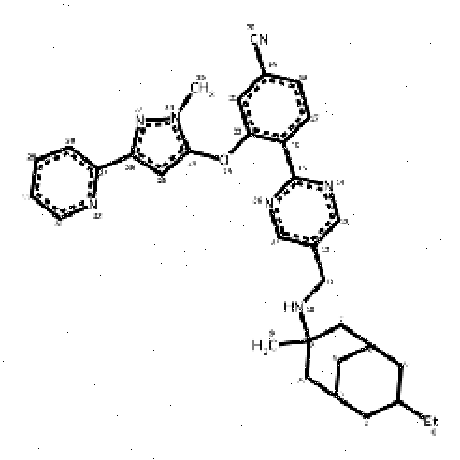 CCC1CC2CC(C1)CC(C)(NCc1cnc(-c3ccc(C#N)cc3Oc3cc(-c4ccccn4)nn3C)nc1)C2